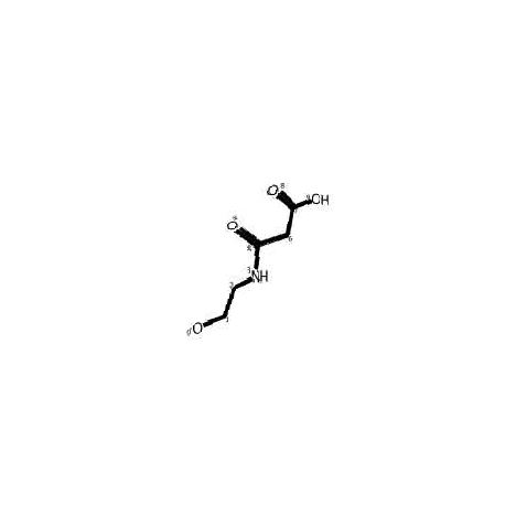 [O]CCNC(=O)CC(=O)O